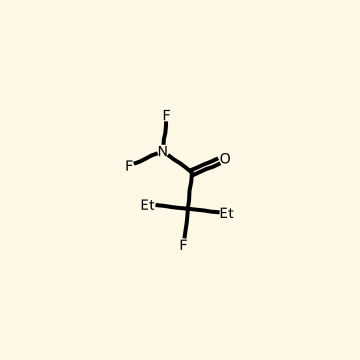 CCC(F)(CC)C(=O)N(F)F